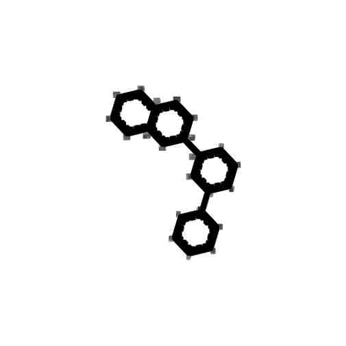 [c]1ccc(-c2ccccc2)cc1-c1ccc2ccccc2c1